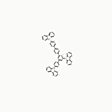 c1ccc2c(c1)c1ccccc1n2-c1ccc(-c2ccc(-c3cc(-c4ccc(-n5c6ccccc6c6ccccc65)cc4)cc(-n4c5ccccc5c5ccccc54)c3)cc2)cc1